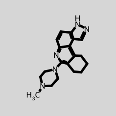 CN1CCN(c2nc3ccc4[nH]ncc4c3c3c2CCCC3)CC1